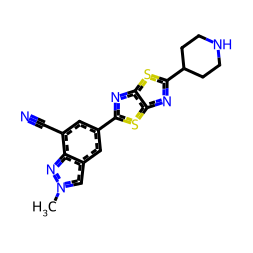 Cn1cc2cc(-c3nc4sc(C5CCNCC5)nc4s3)cc(C#N)c2n1